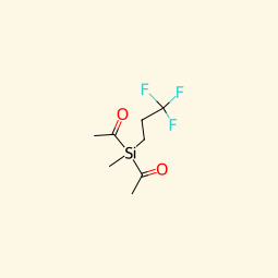 CC(=O)[Si](C)(CCC(F)(F)F)C(C)=O